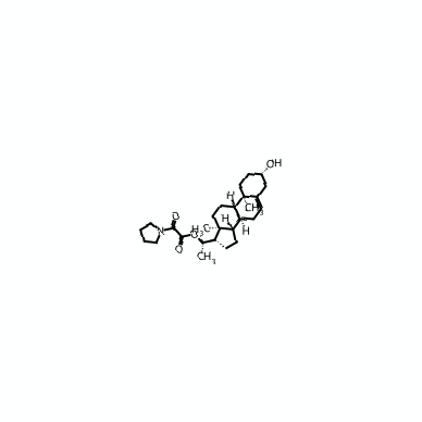 C[C@H](OC(=O)C(=O)N1CCCC1)[C@H]1CC[C@H]2[C@@H]3CC=C4C[C@@H](O)CC[C@]4(C)[C@H]3CC[C@]12C